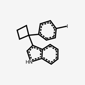 Ic1ccc(C2(c3c[nH]c4ccccc34)CCC2)cc1